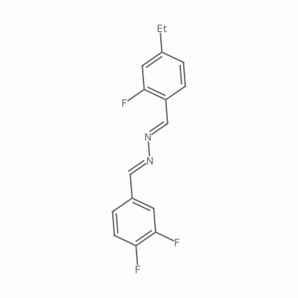 CCc1ccc(/C=N/N=C/c2ccc(F)c(F)c2)c(F)c1